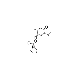 CC1=CC(=O)C(C(C)C)=CC1=NOC(=O)N1CCCC1